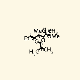 C=C(C)C(=O)OC(=CCC)CC[Si](C)(OC)OC